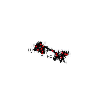 CC1OC(OC2C(O[C@@H]3O[C@@H](CO)C(O)C(O[C@@H](CC4CCCCC4)C(=O)O)C3NC(=O)Cn3cc(COCCOCCOCCOCCOCc4cn(CC(=O)NC5C(O[C@@H](CC6CCCCC6)C(=O)O)C(O)[C@H](CO)O[C@H]5OC5CC(C(=O)NCCN)C[C@@H](NC(=O)c6cc(=O)[nH]c(=O)[nH]6)C5O[C@@H](C)OC(C)C(O)[C@H](O)CO)nn4)nn3)CC(C(=O)NCCN)C[C@H]2NC(=O)c2cc(=O)[nH]c(=O)[nH]2)C(O)C(O)C1O